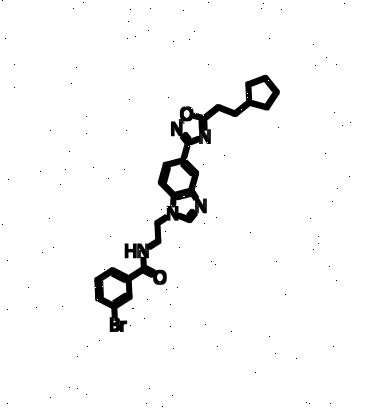 O=C(NCCn1cnc2cc(-c3noc(CCC4CCCC4)n3)ccc21)c1cccc(Br)c1